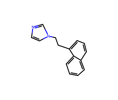 c1ccc2c(CCn3ccnc3)cccc2c1